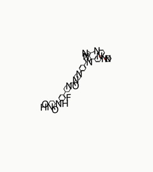 N#Cc1cnn2cc(-c3ccc(N4CCN(C(=O)CN5CCC(c6ccc(NC7CCC(=O)NC7=O)cc6F)CC5)CC4)cc3)nc(-c3ccc(N4CC5CC(C4)N5Cc4ccccc4)nc3)c12